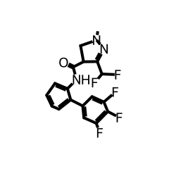 CN1CC(C(=O)Nc2ccccc2-c2cc(F)c(F)c(F)c2)C(C(F)F)=N1